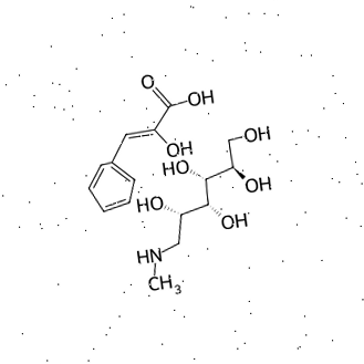 CNC[C@H](O)[C@@H](O)[C@H](O)[C@H](O)CO.O=C(O)C(O)=Cc1ccccc1